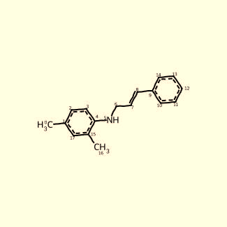 Cc1ccc(NC/C=C/c2ccccc2)c(C)c1